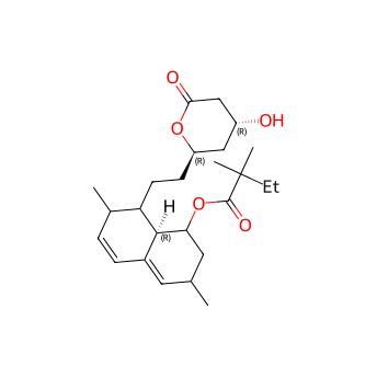 CCC(C)(C)C(=O)OC1CC(C)C=C2C=CC(C)C(CC[C@@H]3C[C@@H](O)CC(=O)O3)[C@H]21